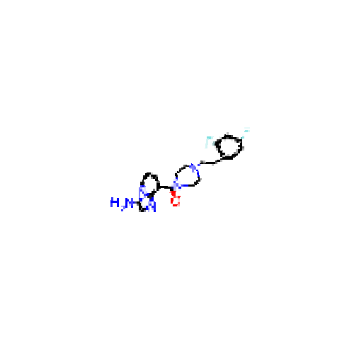 Nc1cnc2c(C(=O)N3CCN(CCc4ccc(F)cc4F)CC3)cccn12